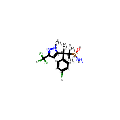 Cn1nc(C(F)(F)F)cc1C(C)(c1ccc(F)cc1)C(C)(C)[S+](N)[O-]